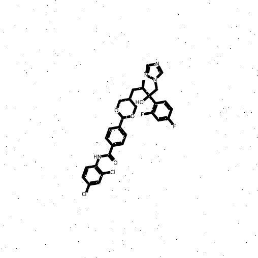 CC(CC1COC(c2ccc(C(=O)Nc3ccc(Cl)cc3Cl)cc2)OC1)C(O)(Cn1cncn1)c1ccc(F)cc1F